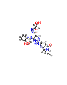 C=CCN1C(=O)c2ccc(Nc3ncc(-c4nnc(C(C)(C)O)o4)c(N[C@H](CO)c4ccccc4)n3)nc2C1(C)C